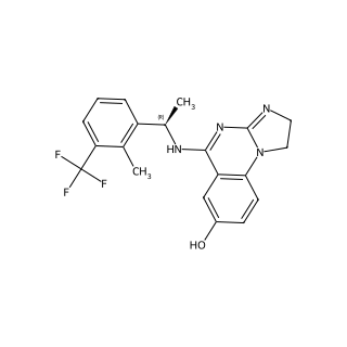 Cc1c([C@@H](C)NC2=NC3=NCCN3c3ccc(O)cc32)cccc1C(F)(F)F